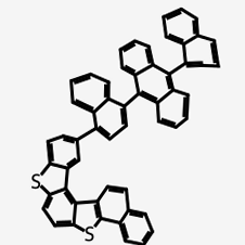 c1ccc2c(-c3c4ccccc4c(-c4ccc(-c5ccc6sc7ccc8sc9c%10ccccc%10ccc9c8c7c6c5)c5ccccc45)c4ccccc34)cccc2c1